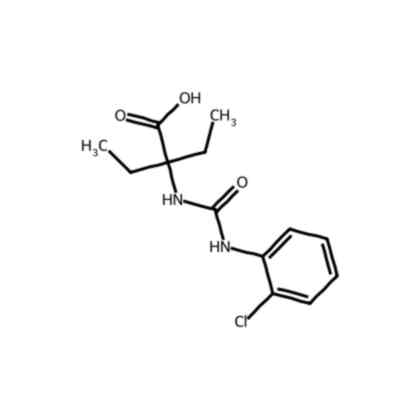 CCC(CC)(NC(=O)Nc1ccccc1Cl)C(=O)O